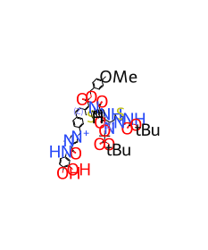 COc1ccc(COC(=O)C2=C(/C=C\c3ccc(C[n+]4cc(C(=O)Nc5ccc(O)c(O)c5)n(C)c4)cc3)CS[C@@H]3[C@H](NC(=O)/C(=N\OC(C)(C)C(=O)OC(C)(C)C)c4csc(NC(=O)OC(C)(C)C)n4)C(=O)N23)cc1